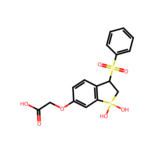 O=C(O)COc1ccc2c(c1)S(O)(O)CC2S(=O)(=O)c1ccccc1